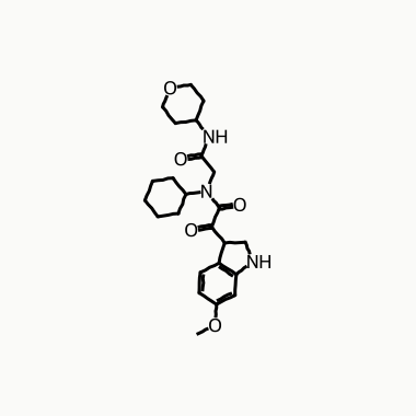 COc1ccc2c(c1)NCC2C(=O)C(=O)N(CC(=O)NC1CCOCC1)C1CCCCC1